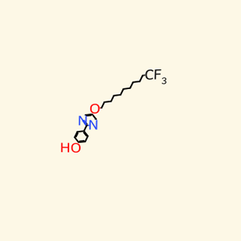 Oc1ccc(-c2ncc(OCCCCCCCCCCC(F)(F)F)cn2)cc1